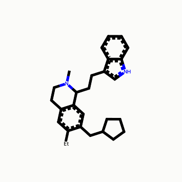 CCc1cc2c(cc1CC1CCCC1)C(CCc1c[nH]c3ccccc13)N(C)CC2